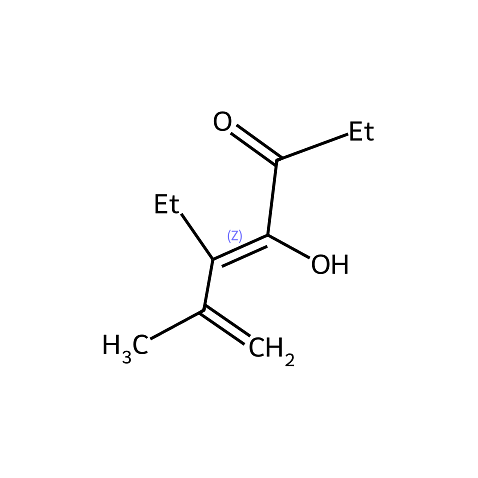 C=C(C)/C(CC)=C(\O)C(=O)CC